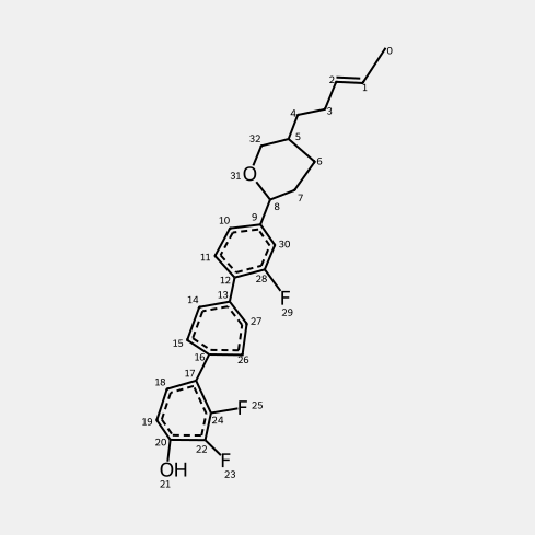 C/C=C/CCC1CCC(c2ccc(-c3ccc(-c4ccc(O)c(F)c4F)cc3)c(F)c2)OC1